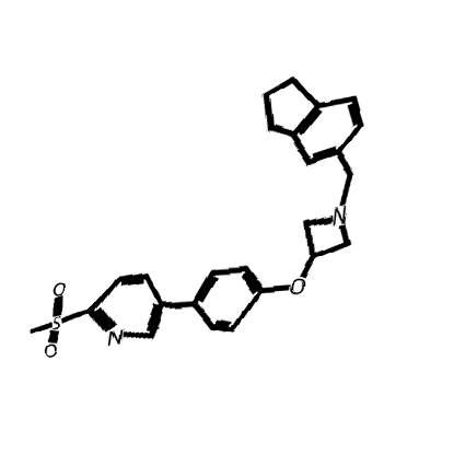 CS(=O)(=O)c1ccc(-c2ccc(OC3CN(Cc4ccc5c(c4)CCC5)C3)cc2)cn1